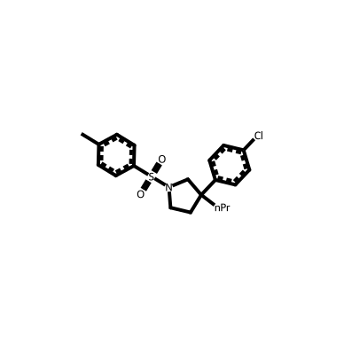 CCCC1(c2ccc(Cl)cc2)CCN(S(=O)(=O)c2ccc(C)cc2)C1